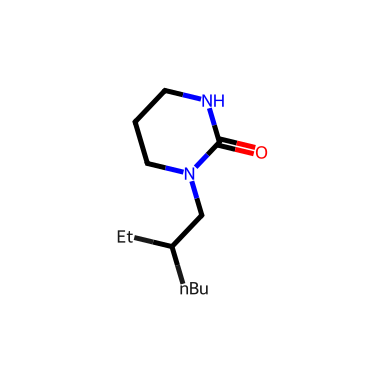 CCCCC(CC)CN1CCCNC1=O